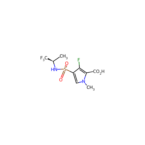 C[C@@H](NS(=O)(=O)c1cn(C)c(C(=O)O)c1F)C(F)(F)F